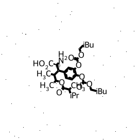 CCC(C)COC(=O)Oc1ccc(C(C(C)C(C)OC(=O)C(C)C(C)C)[C@H](N)C(=O)O)cc1OC(=O)OCC(C)CC